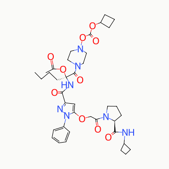 CCCC[C@](NC(=O)c1cc(OCC(=O)N2CCC[C@H]2C(=O)NC2CCC2)n(-c2ccccc2)n1)(OC(C)=O)C(=O)N1CCN(OC(=O)OC2CCC2)CC1